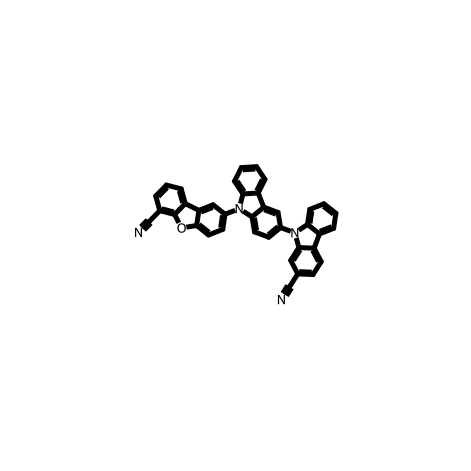 N#Cc1ccc2c3ccccc3n(-c3ccc4c(c3)c3ccccc3n4-c3ccc4oc5c(C#N)cccc5c4c3)c2c1